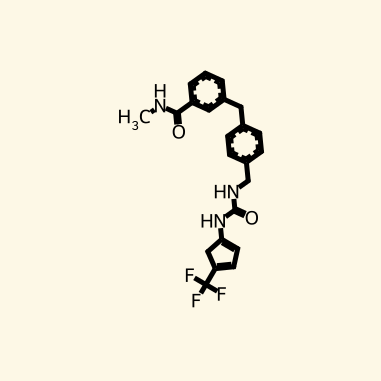 CNC(=O)c1cccc(Cc2ccc(CNC(=O)NC3=CC=C(C(F)(F)F)C3)cc2)c1